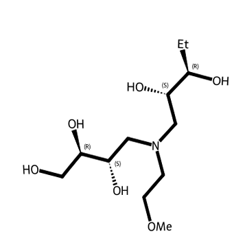 CC[C@@H](O)[C@@H](O)CN(CCOC)C[C@H](O)[C@H](O)CO